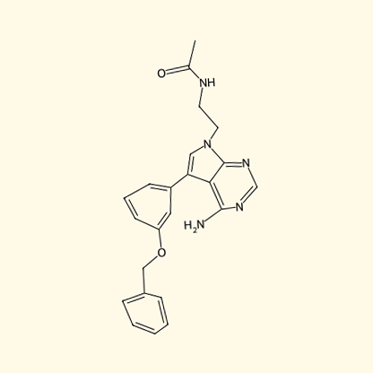 CC(=O)NCCn1cc(-c2cccc(OCc3ccccc3)c2)c2c(N)ncnc21